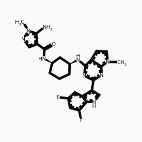 Cn1ncc(C(=O)N[C@@H]2CCC[C@H](Nc3nc(-c4c[nH]c5c(F)cc(F)cc45)nc4c3ccn4C)C2)c1N